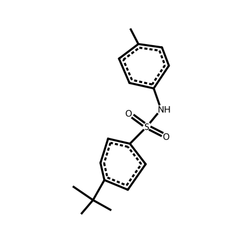 Cc1ccc(NS(=O)(=O)c2ccc(C(C)(C)C)cc2)cc1